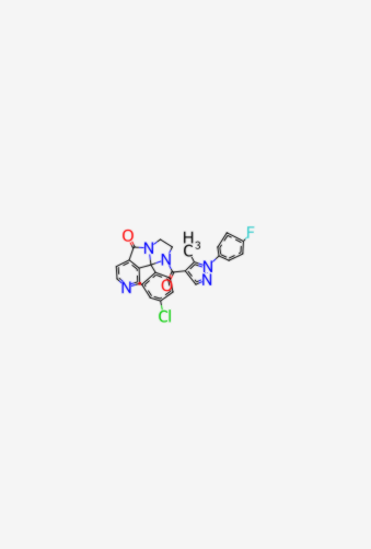 Cc1c(C(=O)N2CCN3C(=O)c4ccncc4C32c2ccc(Cl)cc2)cnn1-c1ccc(F)cc1